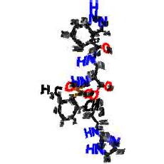 Cc1cccc(C)c1S(=O)(=O)NC(CNC(=O)c1cccc2[nH]ncc12)C(=O)OCCCNc1ncc[nH]1